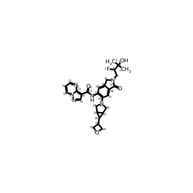 CC(C)(O)C(F)CN1Cc2cc(NC(=O)c3cnn4cccnc34)c(N3CC4C(C3)C4C3COC3)cc2C1=O